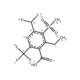 CCc1c(C(=O)O)c(C(F)(F)F)nc(C(F)F)c1S(C)(=O)=O